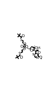 COc1ncnc2c([C@@H]3O[C@H](COP(=O)(OCCSC(=O)C(C)(C)C)OCCSC(=O)C(C)(C)C)C[C@@]3(C)O)coc12